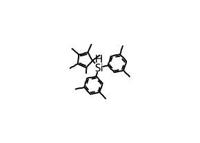 CC1=C(C)C(C)([SiH](c2cc(C)cc(C)c2)c2cc(C)cc(C)c2)C(C)=C1C